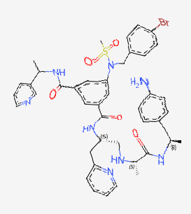 CC(NC(=O)c1cc(C(=O)N[C@H](CN[C@@H](C)C(=O)N[C@H](C)c2ccc(N)cc2)Cc2ccccn2)cc(N(Cc2ccc(Br)cc2)S(C)(=O)=O)c1)c1cccnc1